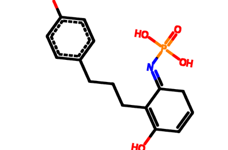 O=P(O)(O)N=C1CC=CC(O)=C1CCCc1ccc(O)cc1